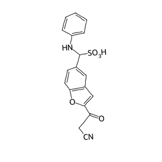 N#CCC(=O)c1cc2cc(C(Nc3ccccc3)S(=O)(=O)O)ccc2o1